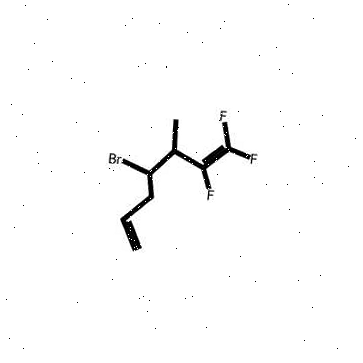 C=CCC(Br)C(C)C(F)=C(F)F